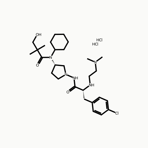 CN(C)CCN[C@H](Cc1ccc(Cl)cc1)C(=O)NN1CC[C@H](N(C(=O)C(C)(C)CO)C2CCCCC2)C1.Cl.Cl